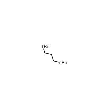 [CH2]CCCCCCC([CH2])(C)C